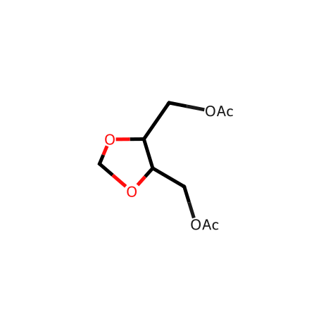 CC(=O)OCC1OCOC1COC(C)=O